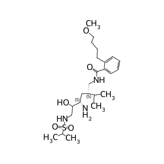 COCCCCc1ccccc1C(=O)NC[C@@H](C[C@H](N)C(O)CNS(=O)(=O)C(C)C)C(C)C